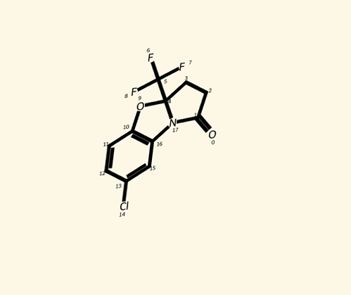 O=C1CCC2(C(F)(F)F)Oc3ccc(Cl)cc3N12